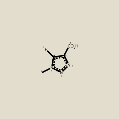 Cn1nnc(C(=O)O)c1F